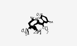 O=[N+]([O-])c1cc(Br)cc(C(c2cc(Br)cc([N+](=O)[O-])c2O)C(Cl)(Cl)Cl)c1O